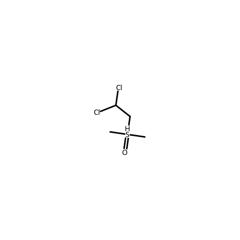 C[SH](C)(=O)CC(Cl)Cl